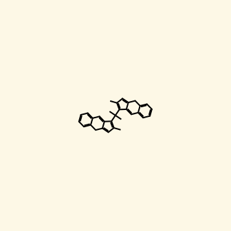 CC1=C(C(C)(C)C2=C(C)C=C3Cc4ccccc4C=C32)C2=Cc3ccccc3CC2=C1